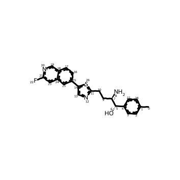 Cc1ccc([C@H](O)[C@H](N)CCc2ncc(-c3ccc4cnc(F)cc4c3)s2)cc1